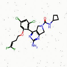 Nc1nc2c(c(-c3c(Cl)cc(Cl)cc3OCCC=C(F)F)n1)CN(C(=O)NC1CCC1)C2